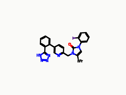 CCCc1cn(-c2ccccc2I)c(=O)n1Cc1ccc(-c2ccccc2-c2nnn[nH]2)cn1